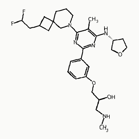 CNCC(O)COc1cccc(-c2nc(N[C@@H]3CCOC3)c(C)c(N3CCCC4(CC(CC(F)F)C4)C3)n2)c1